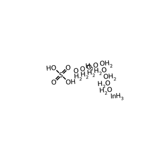 O.O.O.O.O.O.O.O.O.O=S(=O)(O)O.[InH3]